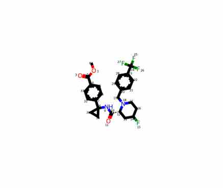 COC(=O)c1ccc(C2(NC(=O)[C@H]3CC(F)CCN3Cc3ccc(C(F)(F)F)cc3)CC2)cc1